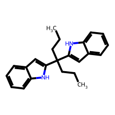 CCCC(CCC)(c1cc2ccccc2[nH]1)c1cc2ccccc2[nH]1